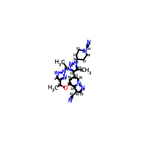 CCn1ncc(C(C)Oc2cc(-c3nnn(C4CCN(C#N)CC4)c3C)cn3ncc(C#N)c23)n1